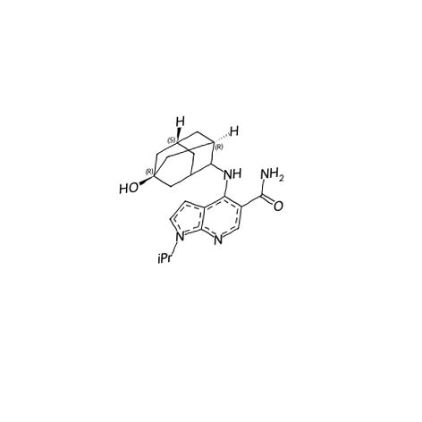 CC(C)n1ccc2c(NC3C4C[C@H]5C[C@@H]3C[C@](O)(C4)C5)c(C(N)=O)cnc21